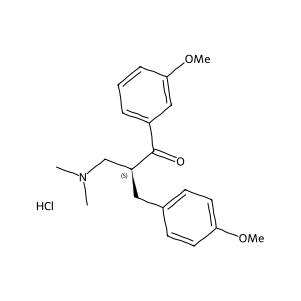 COc1ccc(C[C@@H](CN(C)C)C(=O)c2cccc(OC)c2)cc1.Cl